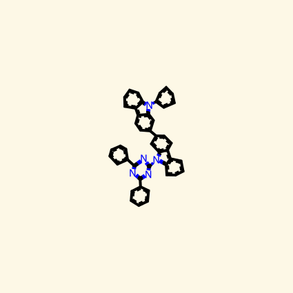 c1ccc(-c2nc(-c3ccccc3)nc(-n3c4ccccc4c4ccc(-c5ccc6c7ccccc7n(-c7ccccc7)c6c5)cc43)n2)cc1